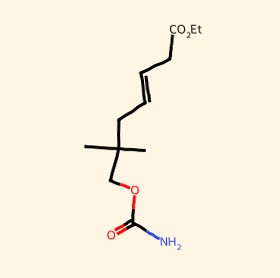 CCOC(=O)CC=CCC(C)(C)COC(N)=O